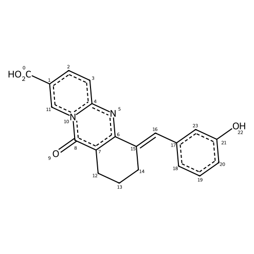 O=C(O)c1ccc2nc3c(c(=O)n2c1)CCCC3=Cc1cccc(O)c1